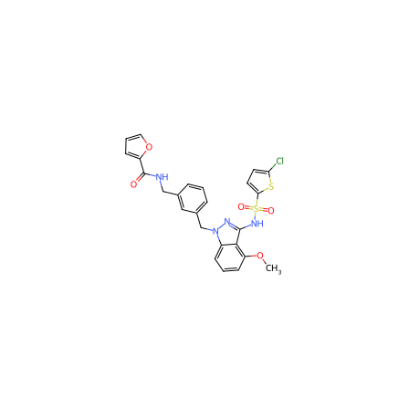 COc1cccc2c1c(NS(=O)(=O)c1ccc(Cl)s1)nn2Cc1cccc(CNC(=O)c2ccco2)c1